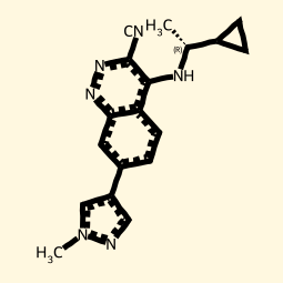 C[C@@H](Nc1c(C#N)nnc2cc(-c3cnn(C)c3)ccc12)C1CC1